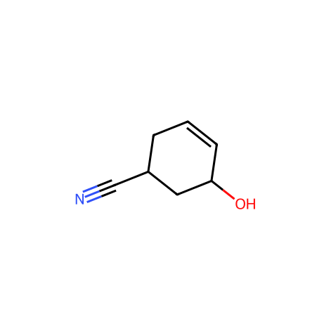 N#CC1CC=CC(O)C1